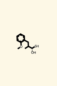 COc1ccccc1CC(C)[C@@H](O)S